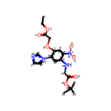 CCOC(=O)COc1cc([N+](=O)[O-])c(NCC(=O)OC(C)(C)C)cc1-n1ccnc1